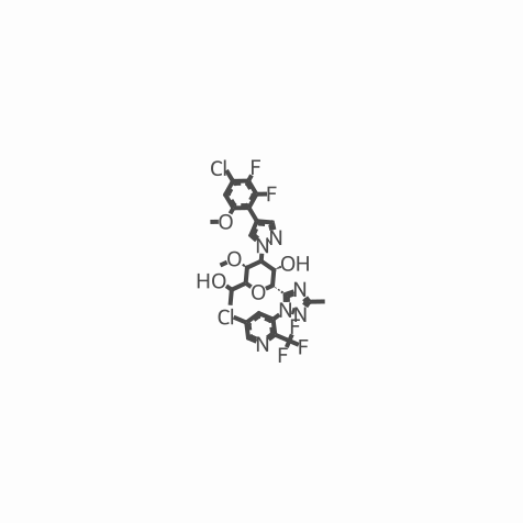 COc1cc(Cl)c(F)c(F)c1-c1cnn(C2[C@@H](OC)C(C(C)O)O[C@@H](c3nc(C)nn3-c3cc(Cl)cnc3C(F)(F)F)[C@H]2O)c1